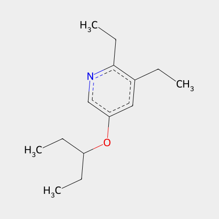 CCc1cc(OC(CC)CC)cnc1CC